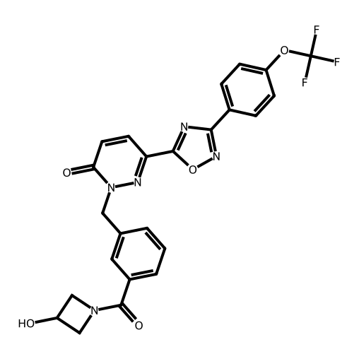 O=C(c1cccc(Cn2nc(-c3nc(-c4ccc(OC(F)(F)F)cc4)no3)ccc2=O)c1)N1CC(O)C1